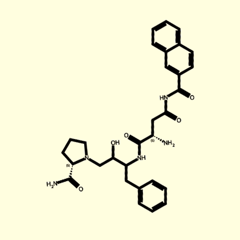 NC(=O)[C@@H]1CCCN1CC(O)C(Cc1ccccc1)NC(=O)[C@@H](N)CC(=O)NC(=O)c1ccc2ccccc2c1